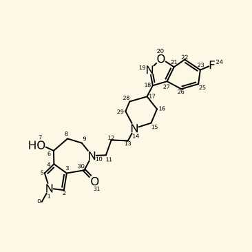 Cn1cc2c(c1)C(O)CCN(CCCN1CCC(c3noc4cc(F)ccc34)CC1)C2=O